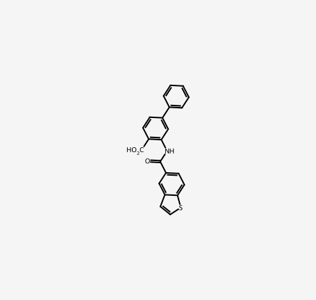 O=C(Nc1cc(-c2ccccc2)ccc1C(=O)O)c1ccc2sccc2c1